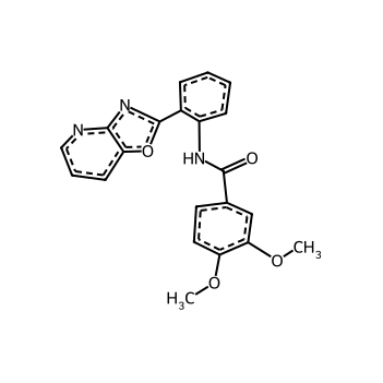 COc1ccc(C(=O)Nc2ccccc2-c2nc3ncccc3o2)cc1OC